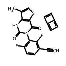 C#Cc1ccc(F)c(-n2c(=O)[nH]c3c(C)csc3c2=O)c1F.c1cc2ccc1-2